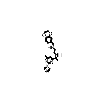 Cc1cc(C(C)NCCNCc2ccc3c(c2)OCCO3)nc(-n2ccnc2)n1